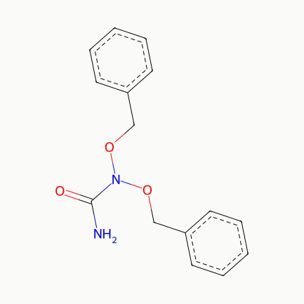 NC(=O)N(OCc1ccccc1)OCc1ccccc1